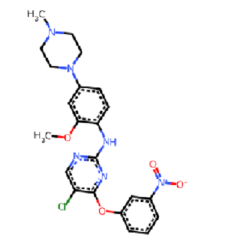 COc1cc(N2CCN(C)CC2)ccc1Nc1ncc(Cl)c(Oc2cccc([N+](=O)[O-])c2)n1